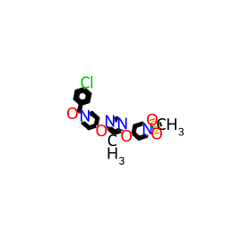 Cc1c(OC2CCN(C(=O)c3ccc(Cl)cc3)CC2)ncnc1OC1CCN(S(C)(=O)=O)CC1